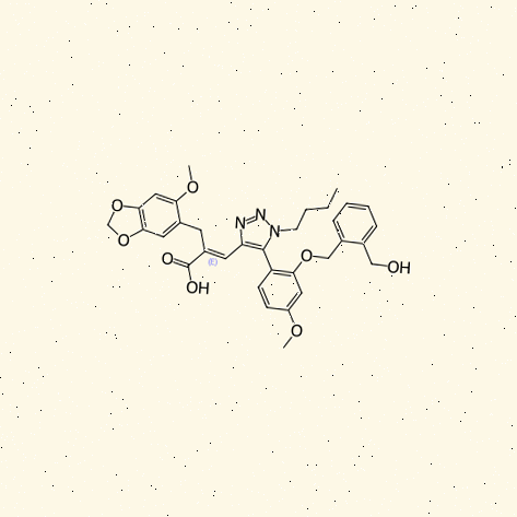 CCCCn1nnc(/C=C(\Cc2cc3c(cc2OC)OCO3)C(=O)O)c1-c1ccc(OC)cc1OCc1ccccc1CO